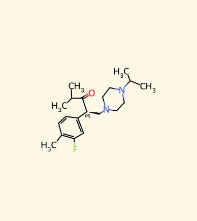 Cc1ccc([C@H](CN2CCN(C(C)C)CC2)C(=O)C(C)C)cc1F